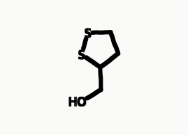 OCC1CCSS1